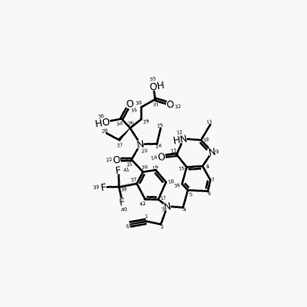 C#CCN(Cc1ccc2nc(C)[nH]c(=O)c2c1)c1ccc(C(=O)N(CC)[C@@](CC)(CCC(=O)O)C(=O)O)c(C(F)(F)F)c1